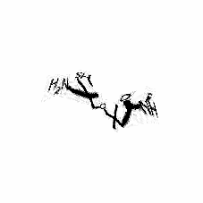 CC(C)(COCC(C)(S)CN)CC(=O)NF